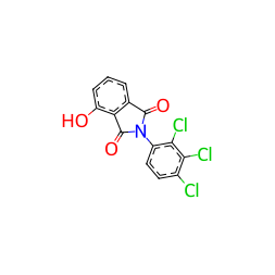 O=C1c2cccc(O)c2C(=O)N1c1ccc(Cl)c(Cl)c1Cl